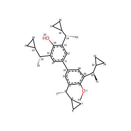 COc1c([C@@H](C)C2CC2)cc(-c2cc([C@@H](C)C3CC3)c(O)c([C@H](C)C3CC3)c2)cc1[C@H](C)C1CC1